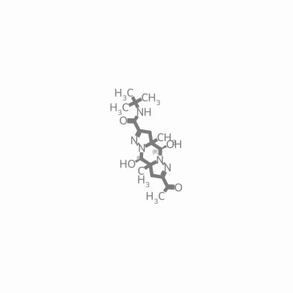 CC(=O)C1=NN2[C@H](O)C3(C)CC(C(=O)NC(C)(C)C)=NN3[C@H](O)C2(C)C1